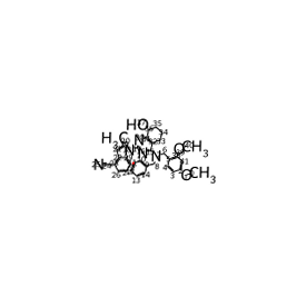 COc1ccc(CN(Cc2ccccc2)c2nc(-n3c(C)cc4c(C#N)cccc43)nc3c2CCCC3O)c(OC)c1